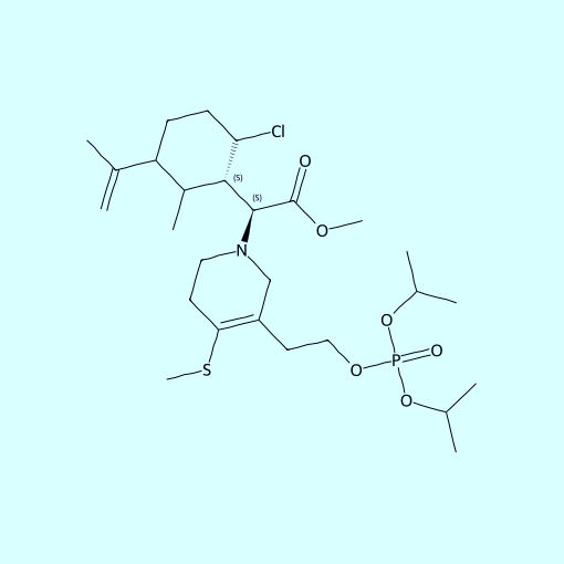 C=C(C)C1CCC(Cl)[C@H]([C@@H](C(=O)OC)N2CCC(SC)=C(CCOP(=O)(OC(C)C)OC(C)C)C2)C1C